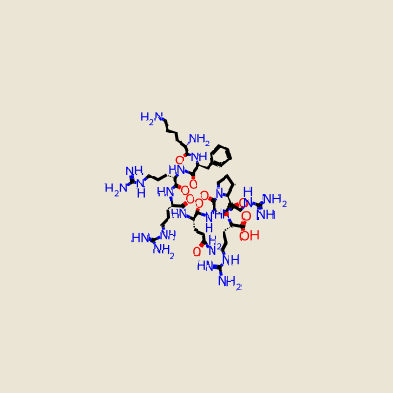 N=C(N)NCCC[C@H](NC(=O)[C@@H]1CCCN1C(=O)[C@H](CCCNC(=N)N)NC(=O)[C@H](CCC(N)=O)NC(=O)[C@H](CCCNC(=N)N)NC(=O)[C@H](CCCNC(=N)N)NC(=O)[C@H](Cc1ccccc1)NC(=O)[C@@H](N)CCCCN)C(=O)O